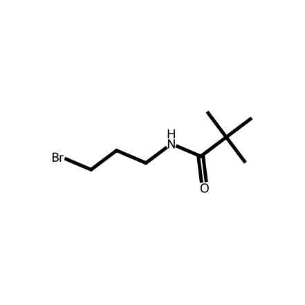 CC(C)(C)C(=O)NCCCBr